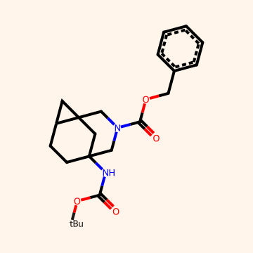 CC(C)(C)OC(=O)NC12CCC3CC3(CN(C(=O)OCc3ccccc3)C1)C2